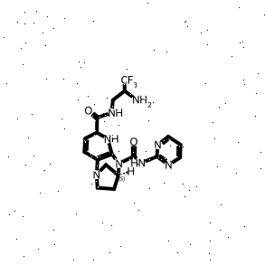 NC(CNC(=O)C1C=CC2=C(N1)N(C(=O)Nc1ncccn1)[C@H]1CCN2C1)C(F)(F)F